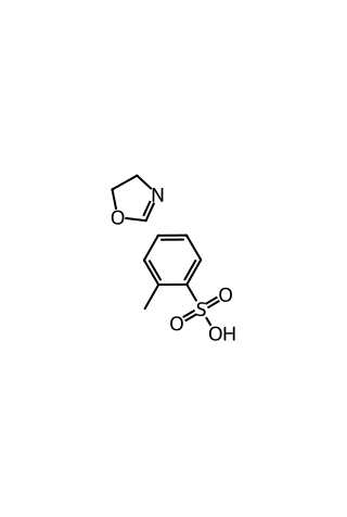 C1=NCCO1.Cc1ccccc1S(=O)(=O)O